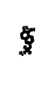 CC1CCc2cc(CS(N)(=O)=O)ccc2C1O